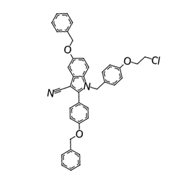 N#Cc1c(-c2ccc(OCc3ccccc3)cc2)n(Cc2ccc(OCCCl)cc2)c2ccc(OCc3ccccc3)cc12